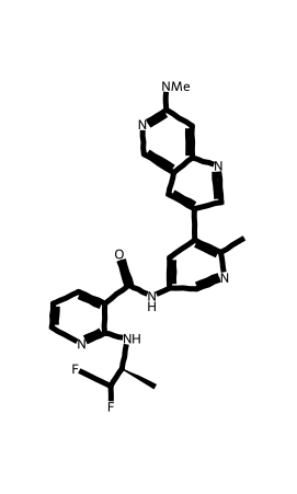 CNc1cc2ncc(-c3cc(NC(=O)c4cccnc4N[C@@H](C)C(F)F)cnc3C)cc2cn1